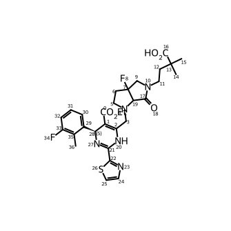 CCOC(=O)C1=C(CN2CCC3(F)CN(CCC(C)(C)C(=O)O)C(=O)C23)NC(c2nccs2)=N[C@H]1c1cccc(F)c1C